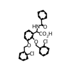 O=C(NC(C(=O)O)c1cccc(OCc2ccccc2Cl)c1OCc1ccccc1Cl)c1ccccc1